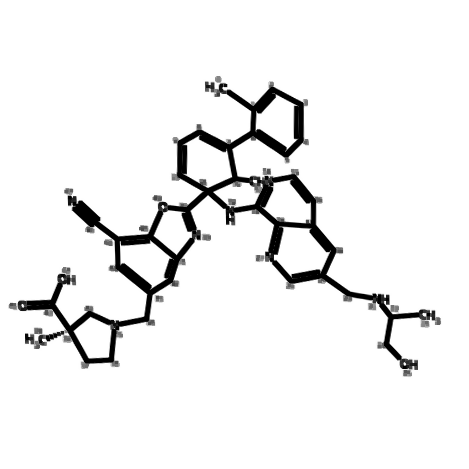 Cc1ccccc1C1=CC=CC(Nc2nccc3cc(CNC(C)CO)cnc23)(c2nc3cc(CN4CC[C@@](C)(C(=O)O)C4)cc(C#N)c3o2)C1C